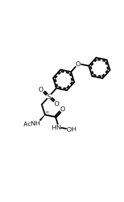 CC(=O)N[C@@H](CS(=O)(=O)c1ccc(Oc2ccccc2)cc1)C(=O)NO